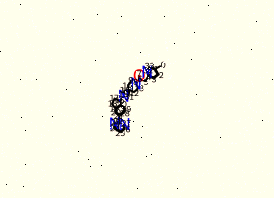 Cc1ccc(CC(=O)N2CCC3(CC2)CN(C2CCc4cc(-c5ncccn5)ccc42)C3)nc1